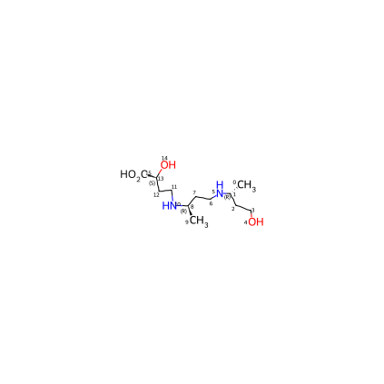 C[C@H](CCO)NCC[C@@H](C)NCC[C@H](O)C(=O)O